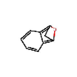 c1ccc2c3oc(c2c1)C3